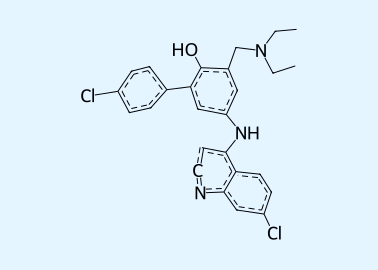 CCN(CC)Cc1cc(Nc2ccnc3cc(Cl)ccc23)cc(-c2ccc(Cl)cc2)c1O